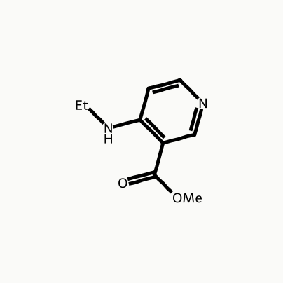 CCNc1ccncc1C(=O)OC